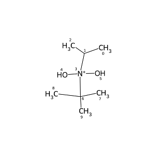 CC(C)[N+](O)(O)C(C)(C)C